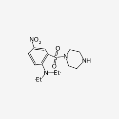 [CH2][CH]N([CH][CH2])c1ccc([N+](=O)[O-])cc1S(=O)(=O)N1CCNCC1